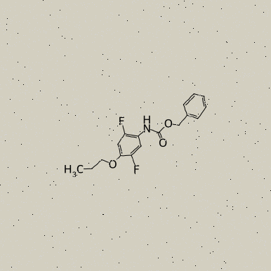 CCCOc1cc(F)c(NC(=O)OCc2ccccc2)cc1F